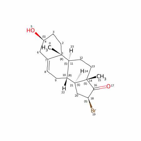 C[C@]12CC[C@H](O)CC1=CC[C@@H]1[C@@H]2CC[C@]2(C)C(=O)[C@@H](Br)C[C@@H]12